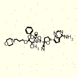 C[C@H](NP(=O)(OC[C@]1(C#N)CC[C@H](c2ccc3c(N)ncnn23)O1)Oc1ccccc1)C(=O)OCCCN1CCOCC1